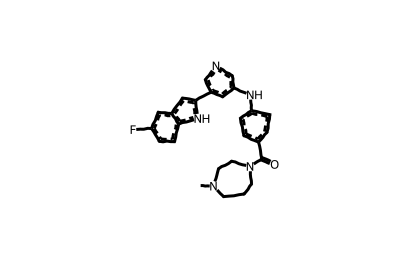 CN1CCCN(C(=O)c2ccc(Nc3cncc(-c4cc5cc(F)ccc5[nH]4)c3)cc2)CC1